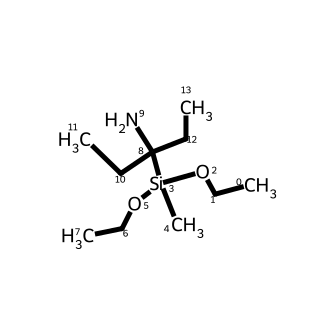 CCO[Si](C)(OCC)C(N)(CC)CC